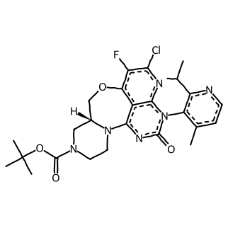 Cc1ccnc(C(C)C)c1-n1c(=O)nc2c3c(c(F)c(Cl)nc31)OC[C@H]1CN(C(=O)OC(C)(C)C)CCN21